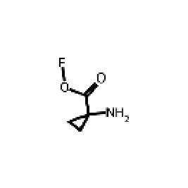 NC1(C(=O)OF)CC1